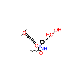 C=C.C=C.C=C.C=C.C=C.C=C.C=C.C=C.C=C.C=C.C=C.CCCCC1C(=O)NN(c2ccccc2)C1=O.CCOCC.OCCO